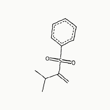 C=C(C(C)C)S(=O)(=O)c1ccccc1